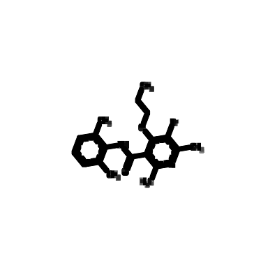 CCCOc1c(Br)c(C)nc(C)c1C(=O)Nc1c(C)cccc1C